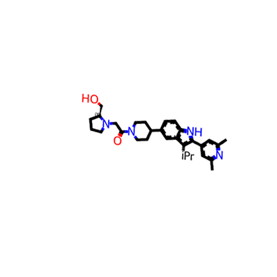 Cc1cc(-c2[nH]c3ccc(C4CCN(C(=O)CN5CCC[C@H]5CO)CC4)cc3c2C(C)C)cc(C)n1